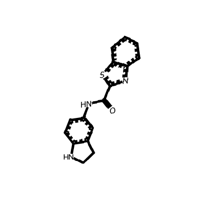 O=C(Nc1ccc2c(c1)CCN2)c1nc2ccccc2s1